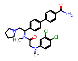 CN(CC(=O)N(C)C(CN1CCCC1)c1ccc(-c2ccc(C(N)=O)cc2)cc1)c1ccc(Cl)c(Cl)c1